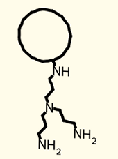 NCCCN(CCCN)CCCNC1CCCCCCCCCCCCCC1